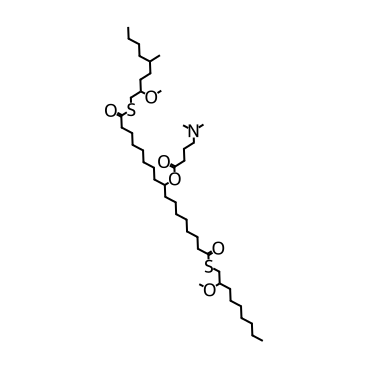 CCCCCCCC(CSC(=O)CCCCCCCC(CCCCCCCC(=O)SCC(CCC(C)CCCC)OC)OC(=O)CCCN(C)C)OC